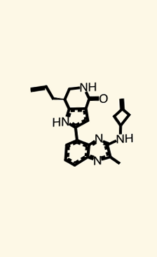 C=CC[C@H]1CNC(=O)c2cc(-c3cccc4nc(C)c(NC5CC(=C)C5)nc34)[nH]c21